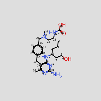 CCCC(CCO)Nc1nc(N)nc(C)c1Cc1ccc(CN(C)CCNC(=O)O)cc1